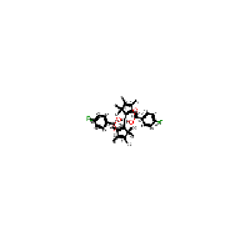 CC1=C(C)C(C)(C)[C]([Ti]([O]C(=O)c2ccc(F)cc2)([O]C(=O)c2ccc(F)cc2)[C]2=C(C)C(C)=C(C)C2(C)C)=C1C